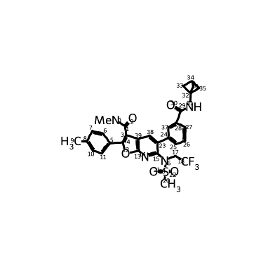 CNC(=O)c1c(-c2ccc(C)cc2)oc2nc(N(CC(F)(F)F)S(C)(=O)=O)c(-c3cccc(C(=O)NC45CC(C4)C5)c3)cc12